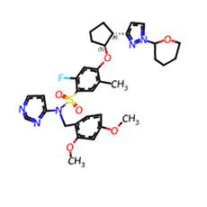 COc1ccc(CN(c2ccncn2)S(=O)(=O)c2cc(C)c(O[C@H]3CCC[C@@H]3c3ccn(C4CCCCO4)n3)cc2F)c(OC)c1